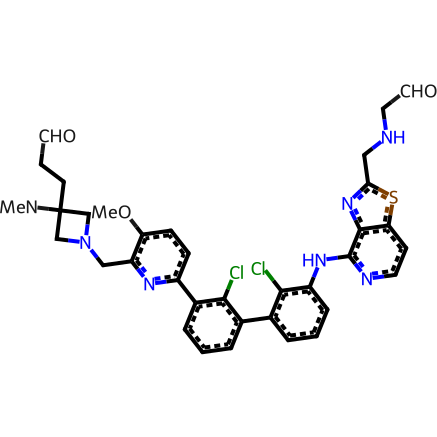 CNC1(CCC=O)CN(Cc2nc(-c3cccc(-c4cccc(Nc5nccc6sc(CNCC=O)nc56)c4Cl)c3Cl)ccc2OC)C1